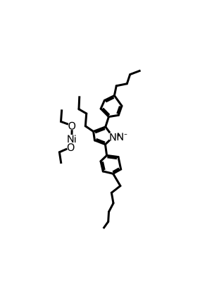 CCCCCCc1ccc(C2=CC(CCCC)=C(c3ccc(CCCC)cc3)[N+]2=[N-])cc1.CC[O][Ni][O]CC